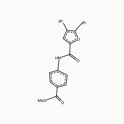 COC(=O)c1ccc(NC(=O)c2cc(C(C)C)c(C(C)C)o2)cc1